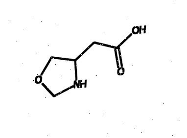 O=C(O)CC1COCN1